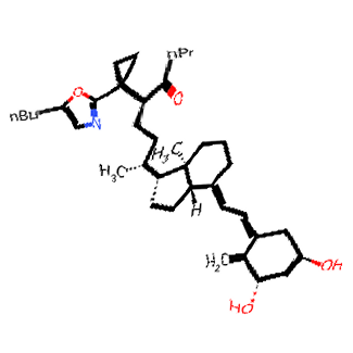 C=C1/C(=C\C=C2/CCC[C@]3(C)[C@@H]([C@H](C)CC[C@H](C(=O)CCC)C4(c5ncc(CCCC)o5)CC4)CC[C@@H]23)C[C@@H](O)C[C@@H]1O